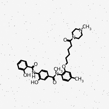 Cc1ccc(N(C)C(=O)c2ccc(NC(=O)c3ccccc3O)c(O)c2)c(OCCCCCC(=O)N2CCN(C)CC2)c1